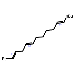 [CH2]CCC/C=C/CCCC/C=C/C/C=C/CC